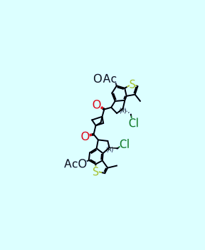 CC(=O)Oc1cc2c(c3c(C)csc13)[C@H](CCl)CC2C(=O)C12CC(C(=O)C3C[C@@H](CCl)c4c3cc(OC(C)=O)c3scc(C)c43)(C1)C2